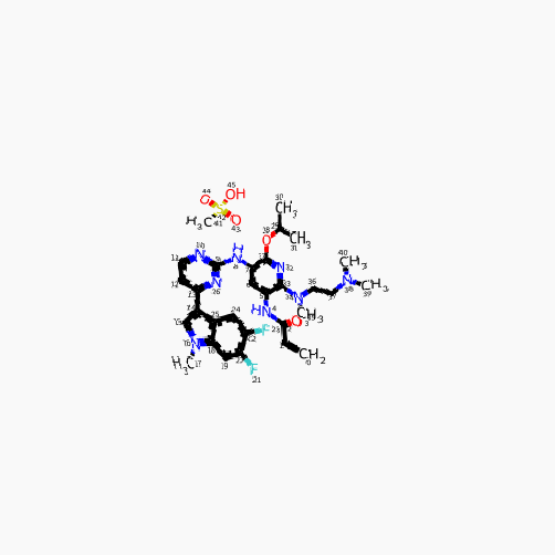 C=CC(=O)Nc1cc(Nc2nccc(-c3cn(C)c4cc(F)c(F)cc34)n2)c(OC(C)C)nc1N(C)CCN(C)C.CS(=O)(=O)O